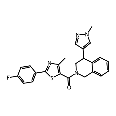 Cc1nc(-c2ccc(F)cc2)sc1C(=O)N1Cc2ccccc2C(c2cnn(C)c2)C1